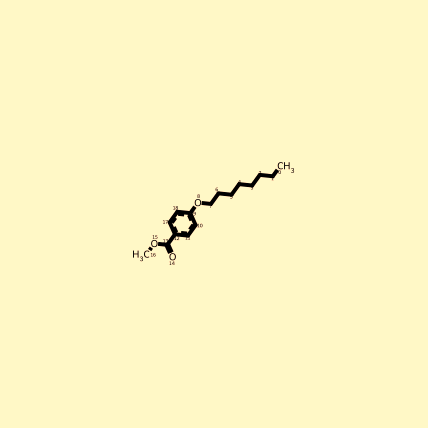 CCCCCCCCOc1ccc(C(=O)OC)cc1